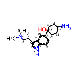 CN(C)CCc1c[nH]c2ccc(C3(O)CCC(N)CC3)cc12